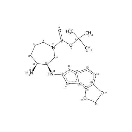 CC(C)(C)OC(=O)N1CCC[C@H](N)[C@H](Nc2nc3c4c(ccc3s2)OCO4)C1